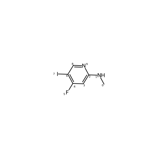 CNc1cc(F)c(I)cn1